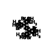 Cc1cc(C(c2ccc(C(c3cc(C)c(O)c(Br)c3)c3cc(C)c(O)c(Br)c3)cc2)c2cc(C)c(O)c(Br)c2)cc(Br)c1O